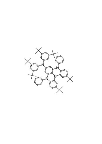 CC(C)(C)c1cc(N(c2cc(C(C)(C)C)cc(C(C)(C)C)c2)c2cc3c4c(c2)N(c2ccccc2)c2ccc(C(C)(C)C)cc2B4c2cc(C(C)(C)C)ccc2N3c2ccccc2)cc(C(C)(C)C)c1